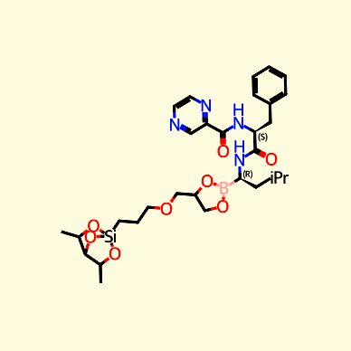 CC(C)C[C@H](NC(=O)[C@H](Cc1ccccc1)NC(=O)c1cnccn1)B1OCC(COCCC[Si]23OC(C)C(O2)C(C)O3)O1